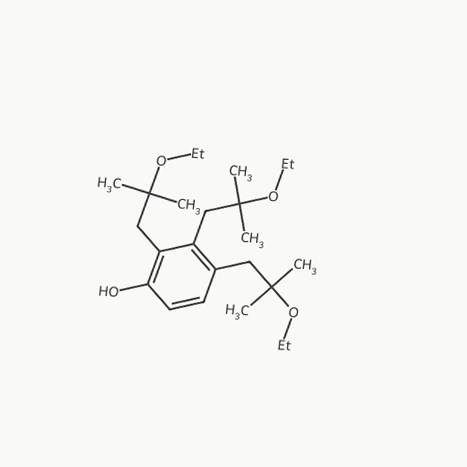 CCOC(C)(C)Cc1ccc(O)c(CC(C)(C)OCC)c1CC(C)(C)OCC